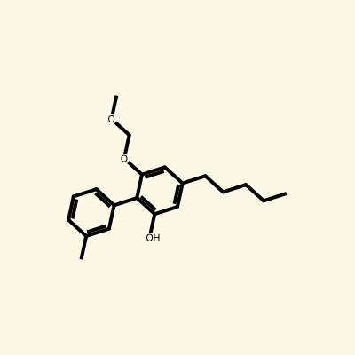 CCCCCc1cc(O)c(-c2cccc(C)c2)c(OCOC)c1